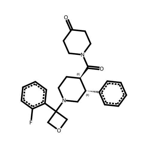 O=C1CCN(C(=O)[C@@H]2CCN(C3(c4ccccc4F)COC3)C[C@H]2c2ccccc2)CC1